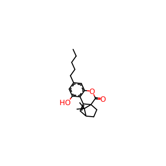 CCCCCc1cc(O)c2c(c1)OC(=O)C13CCC(C=C21)C3(C)C